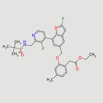 CCOC(=O)Cc1ccc(C)cc1OCc1cc(-c2ccnc(CN[S@@+]([O-])C(C)(C)C)c2F)c2oc(F)cc2c1